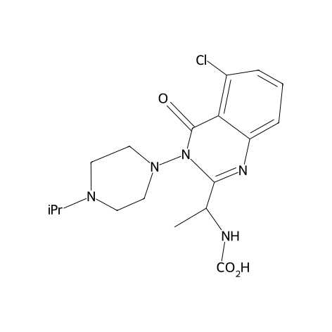 CC(NC(=O)O)c1nc2cccc(Cl)c2c(=O)n1N1CCN(C(C)C)CC1